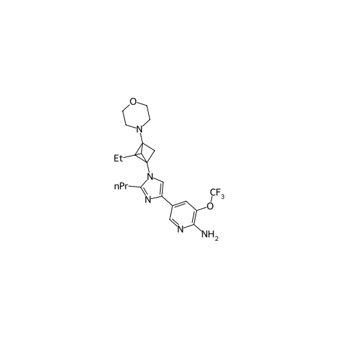 CCCc1nc(-c2cnc(N)c(OC(F)(F)F)c2)cn1C12CC(N3CCOCC3)(C1)C2CC